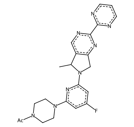 CC(=O)N1CCN(c2cc(F)cc(N3Cc4nc(-c5ncccn5)ncc4C3C)n2)CC1